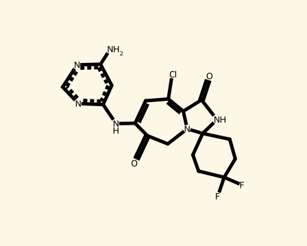 Nc1cc(NC2=CC(Cl)=C3C(=O)NC4(CCC(F)(F)CC4)N3CC2=O)ncn1